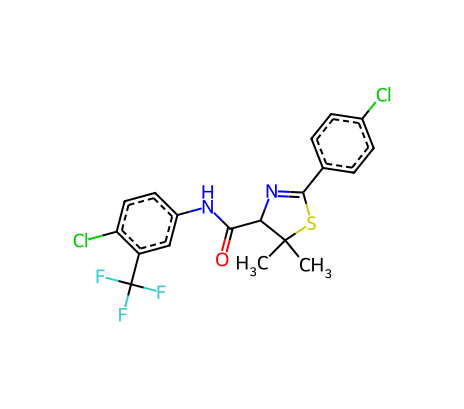 CC1(C)SC(c2ccc(Cl)cc2)=NC1C(=O)Nc1ccc(Cl)c(C(F)(F)F)c1